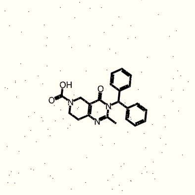 Cc1nc2c(c(=O)n1C(c1ccccc1)c1ccccc1)CN(C(=O)O)CC2